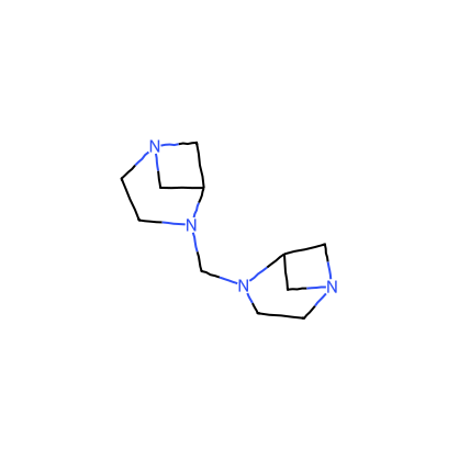 C1CN(CN2CCN3CC2C3)C2CN1C2